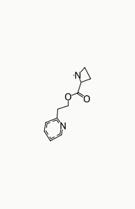 O=C(OCCc1ccccn1)C1CC[N]1